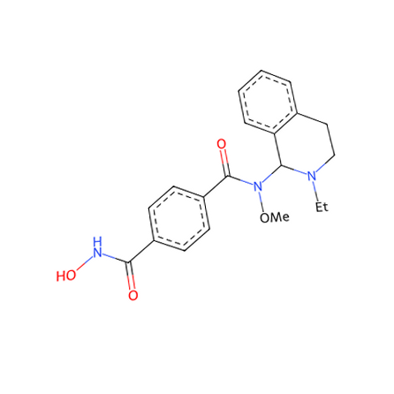 CCN1CCc2ccccc2C1N(OC)C(=O)c1ccc(C(=O)NO)cc1